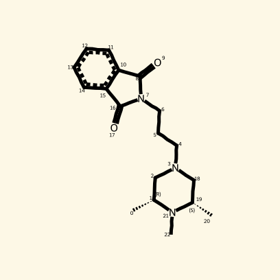 C[C@@H]1CN(CCCN2C(=O)c3ccccc3C2=O)C[C@H](C)N1C